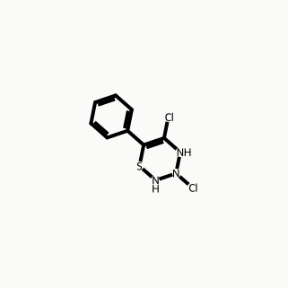 Clc1[nH]n(Cl)[nH]sc1-c1ccccc1